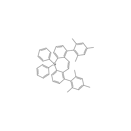 Cc1cc(C)c(-c2cccc3c2C=Cc2c(-c4c(C)cc(C)cc4C)cccc2[Si]3(c2ccccc2)c2ccccc2)c(C)c1